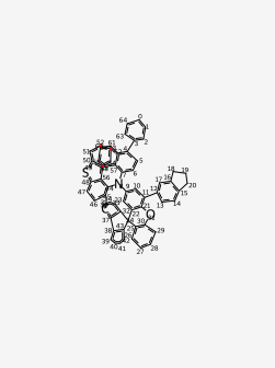 c1ccc(-c2ccc(N(c3cc(-c4ccc5c(c4)CCC5)c4c(c3)C3(c5ccccc5O4)c4ccccc4-c4ccccc43)c3cccc4sc5ccccc5c34)c3ccccc23)cc1